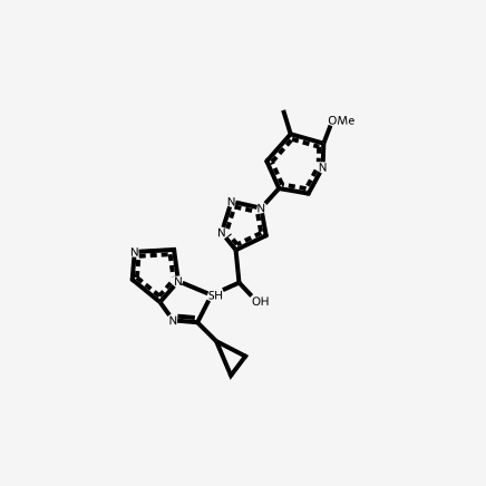 COc1ncc(-n2cc(C(O)[SH]3C(C4CC4)=Nc4cncn43)nn2)cc1C